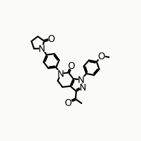 COc1ccc(-n2nc(C(C)=O)c3c2C(=O)N(c2ccc(N4CCCC4=O)cc2)CC3)cc1